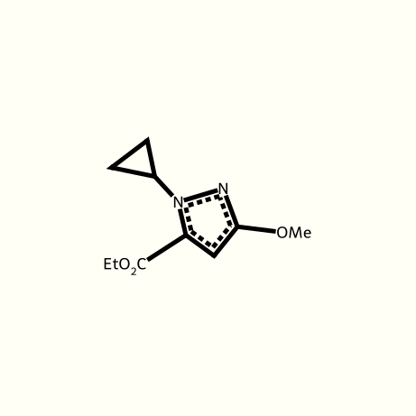 CCOC(=O)c1cc(OC)nn1C1CC1